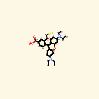 CCN(CC)c1ccc2c(-c3ccc(C(=O)O)cc3C(=O)CS)c3ccc(=[N+](CC)CC)cc-3oc2c1